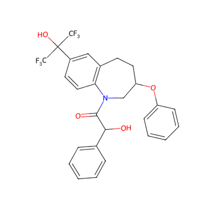 O=C(C(O)c1ccccc1)N1CC(Oc2ccccc2)CCc2cc(C(O)(C(F)(F)F)C(F)(F)F)ccc21